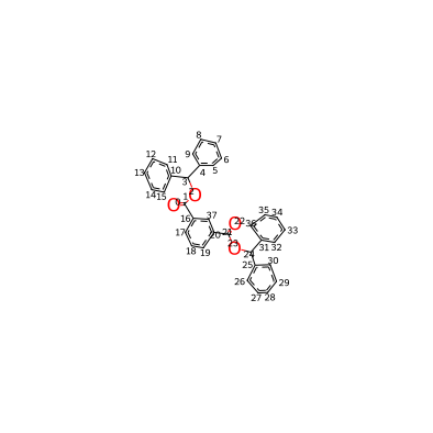 O=C(OC(c1ccccc1)c1ccccc1)c1cccc(C(=O)OC(c2ccccc2)c2ccccc2)c1